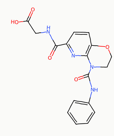 O=C(O)CNC(=O)c1ccc2c(n1)N(C(=O)Nc1ccccc1)CCO2